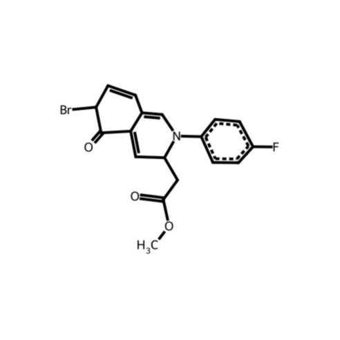 COC(=O)CC1C=C2C(=O)C(Br)C=CC2=CN1c1ccc(F)cc1